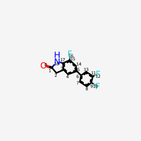 O=C1Cc2cc(-c3ccc(F)c(F)c3)cc(F)c2N1